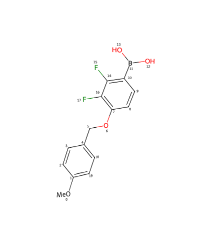 COc1ccc(COc2ccc(B(O)O)c(F)c2F)cc1